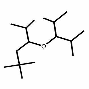 CC(C)C(CC(C)(C)C)OC(C(C)C)C(C)C